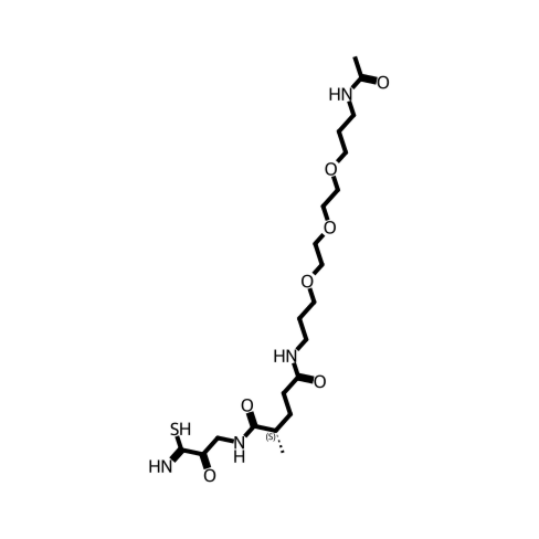 CC(=O)NCCCOCCOCCOCCCNC(=O)CC[C@H](C)C(=O)NCC(=O)C(=N)S